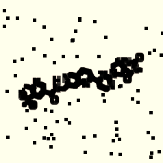 Cc1ncc(C(=O)NCc2cc3nc(-c4ccnc(N5CCC6(C5)NC(=O)N(C)C6=O)n4)ccc3cn2)cc1S(C)(=O)=O